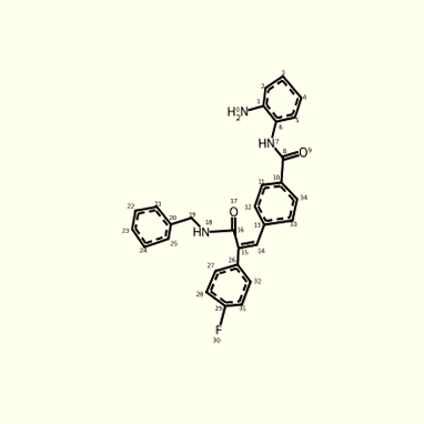 Nc1ccccc1NC(=O)c1ccc(C=C(C(=O)NCc2ccccc2)c2ccc(F)cc2)cc1